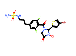 NS(=O)(=O)NCCCc1cc(F)c(C(=O)N2CC(=O)N(O)C2c2cc(Br)cs2)c(F)c1